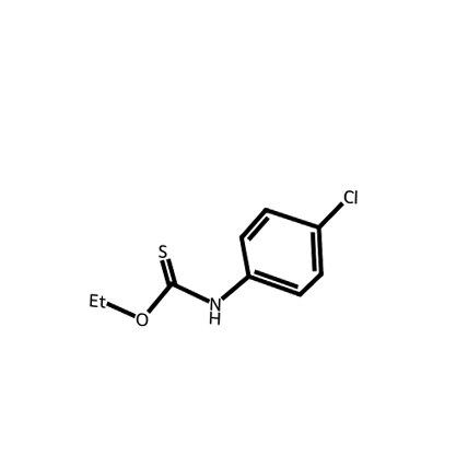 CCOC(=S)Nc1ccc(Cl)cc1